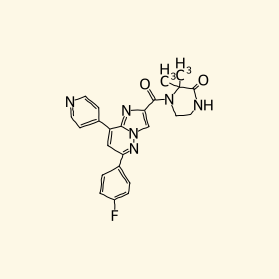 CC1(C)C(=O)NCCN1C(=O)c1cn2nc(-c3ccc(F)cc3)cc(-c3ccncc3)c2n1